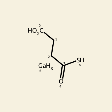 O=C(O)CCC(=O)S.[GaH3]